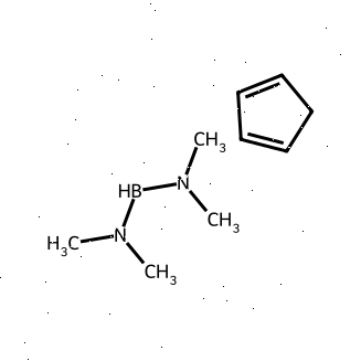 C1=CCC=C1.CN(C)BN(C)C